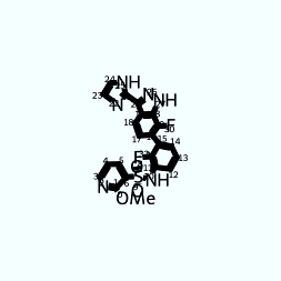 COc1ncccc1S(=O)(=O)Nc1cccc(-c2ccc3c(-c4ncc[nH]4)n[nH]c3c2F)c1F